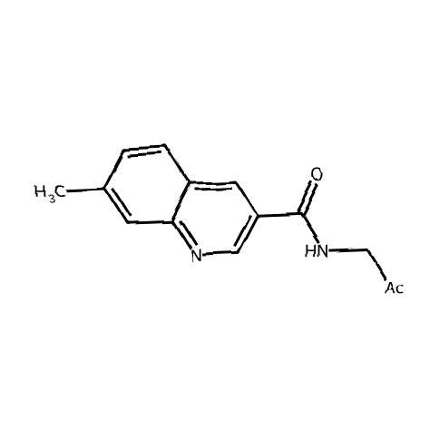 CC(=O)CNC(=O)c1cnc2cc(C)ccc2c1